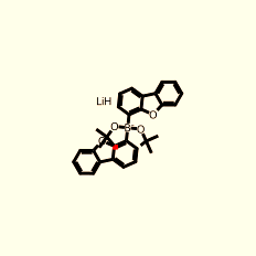 CC(C)(C)O[B-](OC(C)(C)C)(c1cccc2c1oc1ccccc12)c1cccc2c1oc1ccccc12.[LiH]